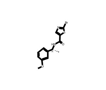 COc1cccc([C@@H](C)NC(=O)c2cnc(Br)s2)c1